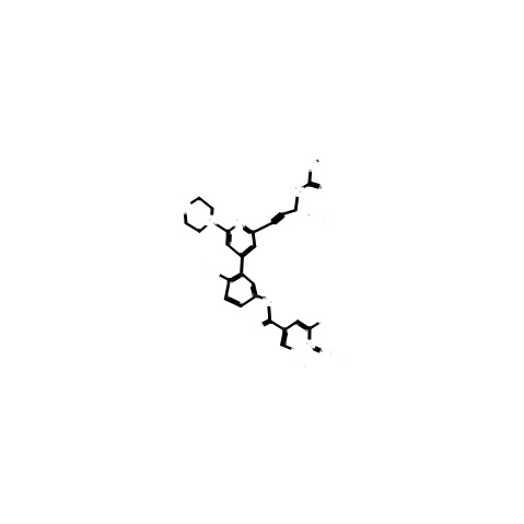 C=N/C(=C\C(=C/C)C(=O)Nc1ccc(C)c(-c2cc(C#C[C@@H](C)NC(=O)OC(C)(C)C)nc(N3CCOCC3)c2)c1)C(F)(F)F